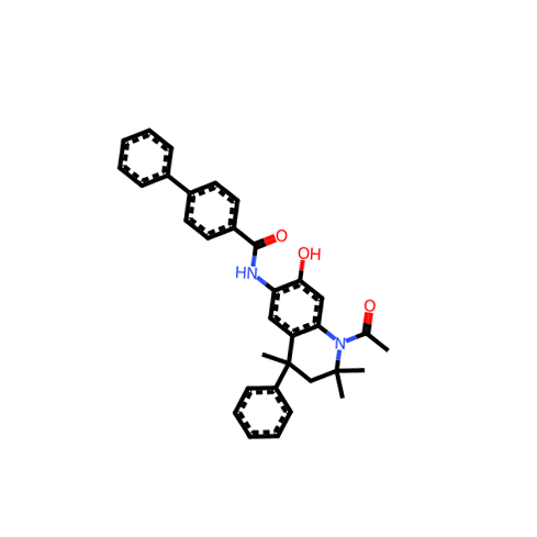 CC(=O)N1c2cc(O)c(NC(=O)c3ccc(-c4ccccc4)cc3)cc2C(C)(c2ccccc2)CC1(C)C